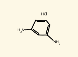 Cl.Nc1cccc(N)c1